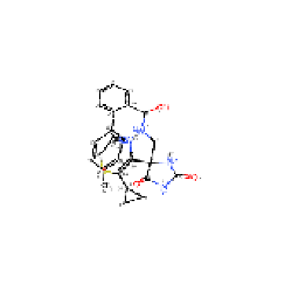 O=C1NC(=O)C(CNC(O)c2ccccc2-c2ccc(C(F)(F)F)cc2)(C2=C(C3CC3)SCC=N2)N1